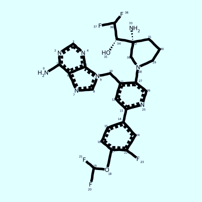 Nc1ncnc2c1ncn2Cc1cc(-c2ccc(OC(F)F)c(F)c2)ncc1N1CCC[C@](N)([C@H](O)C(F)F)C1